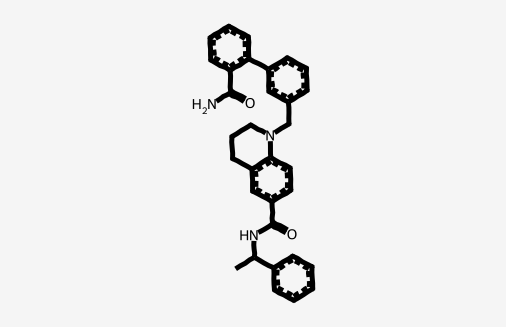 CC(NC(=O)c1ccc2c(c1)CCCN2Cc1cccc(-c2ccccc2C(N)=O)c1)c1ccccc1